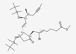 CC#CC[C@H](C)[C@@H](/C=C/[C@H]1[C@H](O[Si](C)(C)C(C)(C)C)CC(=O)[C@@H]1C/C(Br)=C/CCCC(=O)OC)O[Si](C)(C)C(C)(C)C